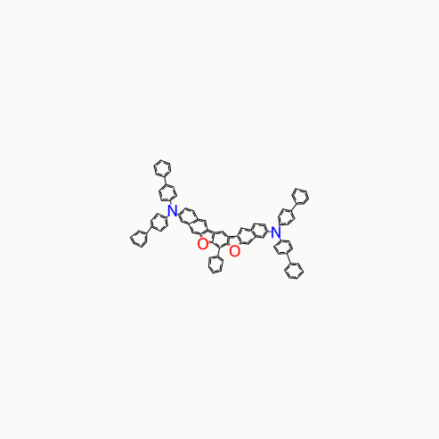 c1ccc(-c2ccc(N(c3ccc(-c4ccccc4)cc3)c3ccc4cc5c(cc4c3)oc3c(-c4ccccc4)c4oc6cc7cc(N(c8ccc(-c9ccccc9)cc8)c8ccc(-c9ccccc9)cc8)ccc7cc6c4cc35)cc2)cc1